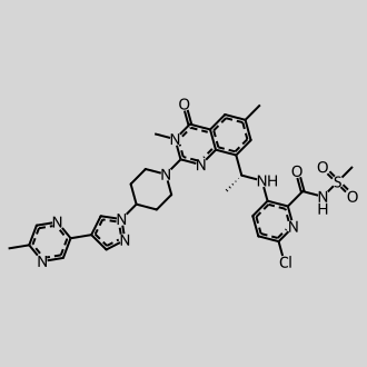 Cc1cc([C@@H](C)Nc2ccc(Cl)nc2C(=O)NS(C)(=O)=O)c2nc(N3CCC(n4cc(-c5cnc(C)cn5)cn4)CC3)n(C)c(=O)c2c1